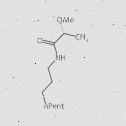 CCCCCCCCNC(=O)[C@@H](C)OC